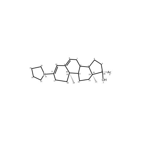 CC(=O)[C@@]1(O)CCC2C3CC=C4C=C(N5CCCC5)CC[C@]4(C)C3CC[C@@]21C